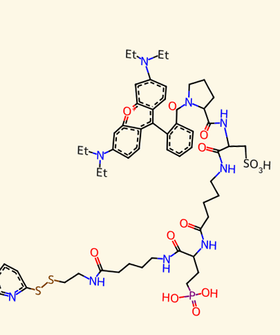 CCN(CC)c1ccc2c(-c3ccccc3C(=O)N3CCCC3C(=O)NC(CS(=O)(=O)O)C(=O)NCCCCC(=O)NC(CCP(=O)(O)O)C(=O)NCCCCC(=O)NCCSSc3ccccn3)c3ccc(N(CC)CC)cc3[o+]c2c1